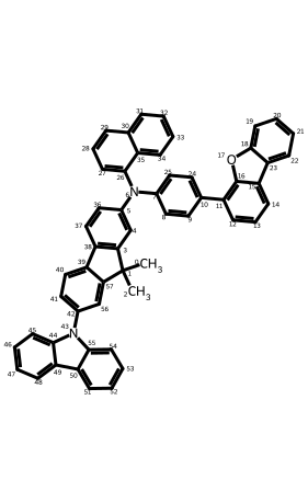 CC1(C)c2cc(N(c3ccc(-c4cccc5c4oc4ccccc45)cc3)c3cccc4ccccc34)ccc2-c2ccc(-n3c4ccccc4c4ccccc43)cc21